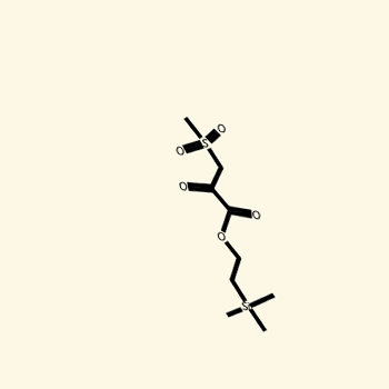 C[Si](C)(C)CCOC(=O)C(=O)CS(C)(=O)=O